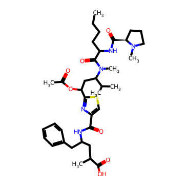 CCCCC(NC(=O)[C@H]1CCCN1C)C(=O)N(C)C(CC(OC(C)=O)c1nc(C(=O)NC(Cc2ccccc2)CC(C)C(=O)O)cs1)C(C)C